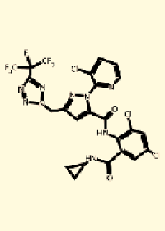 O=C(NC1CC1)c1cc(Cl)cc(Cl)c1NC(=O)c1cc(Cn2nnc(C(F)(C(F)(F)F)C(F)(F)F)n2)nn1-c1ncccc1Cl